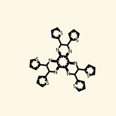 c1csc(C2N=c3c4c(c5c(c3=NC2c2cccs2)=NC(c2cccs2)C(c2cccs2)N=5)=NC(c2cccs2)C(c2cccs2)N=4)c1